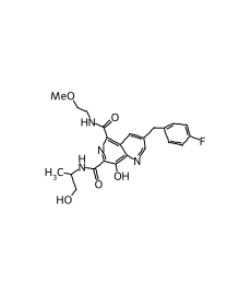 COCCNC(=O)c1nc(C(=O)NC(C)CO)c(O)c2ncc(Cc3ccc(F)cc3)cc12